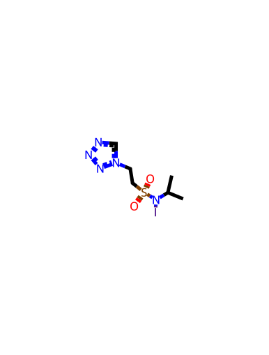 CC(C)N(I)S(=O)(=O)CCn1cnnn1